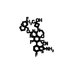 CC1(O)CC(N2CCOc3c(Cl)c(-c4ccc(F)c5sc(N)c(C#N)c45)c(F)c4nc(OC[C@@]56CCCN5C[C@H](F)C6)nc2c34)C1